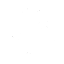 COc1ccc(CN2CCCC(n3cc(-c4cc(-c5cnn(C)c5)cn5nnc(C#N)c45)cn3)C2)cn1